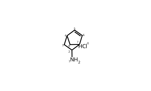 Cl.NC1CC2C=CC1C2